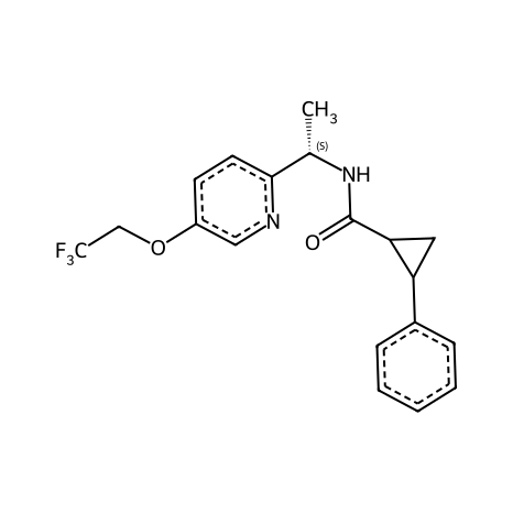 C[C@H](NC(=O)C1CC1c1ccccc1)c1ccc(OCC(F)(F)F)cn1